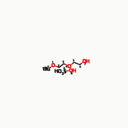 CC(C)(C)OCCOCCO.O=S(=O)(O)O